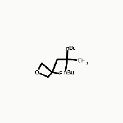 CCCCC(C)(CCCC)CC1(F)COC1